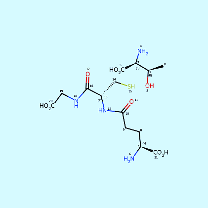 C[C@@H](O)[C@H](N)C(=O)O.N[C@@H](CCC(=O)N[C@@H](CS)C(=O)NCC(=O)O)C(=O)O